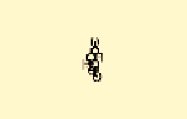 COc1cc(C)c2c(c1)CC[C@H]1[C@@H]2CC[C@]2(C)C(=O)CC[C@@H]12